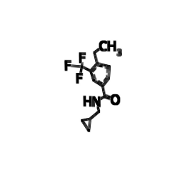 CCc1ccc(C(=O)NCC2CC2)cc1C(F)(F)F